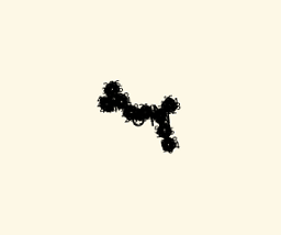 c1ccc(-c2ccc(-c3nc(-c4ccccc4)nc(-c4ccc5c(c4)oc4ccc(-c6ccc7c8ccccc8c8ccccc8c7c6)cc45)n3)cc2)cc1